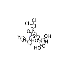 CN1CCN(c2ccccc2/C=C2\SCCN(c3ccc(Cl)c(Cl)c3)C2=O)CC1.O=C(O)CC(O)(CC(=O)O)C(=O)O